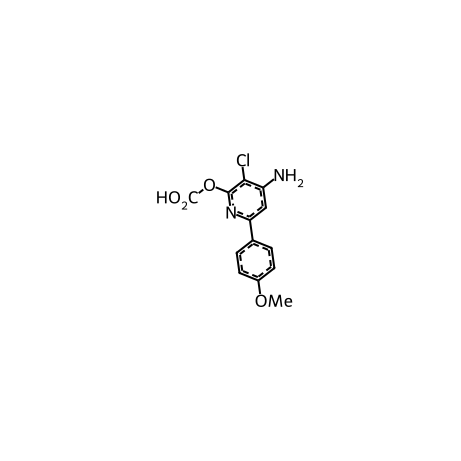 COc1ccc(-c2cc(N)c(Cl)c(OC(=O)O)n2)cc1